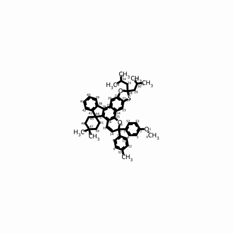 COc1ccc(C2(c3ccc(C)cc3)C=Cc3c4c(c5cc6c(cc5c3O2)SC(CC(C)C)(CC(C)C)O6)-c2ccccc2C42CCC(C)(C)CC2)cc1